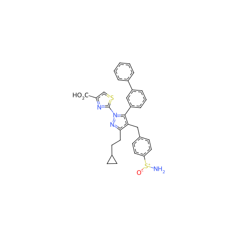 N[S+]([O-])c1ccc(Cc2c(CCC3CC3)nn(-c3nc(C(=O)O)cs3)c2-c2cccc(-c3ccccc3)c2)cc1